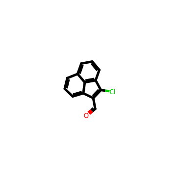 O=CC1=C(Cl)c2cccc3cccc1c23